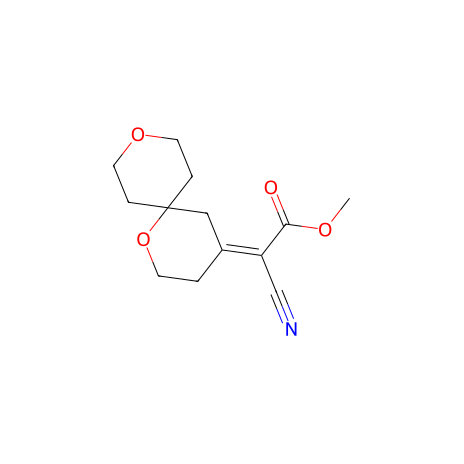 COC(=O)/C(C#N)=C1/CCOC2(CCOCC2)C1